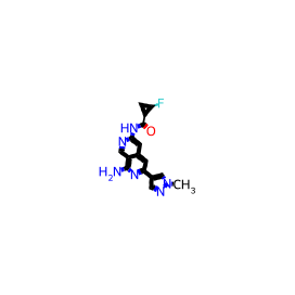 Cn1cc(-c2cc3cc(NC(=O)[C@H]4C[C@H]4F)ncc3c(N)n2)cn1